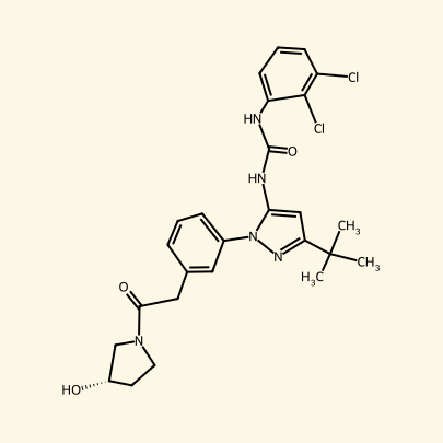 CC(C)(C)c1cc(NC(=O)Nc2cccc(Cl)c2Cl)n(-c2cccc(CC(=O)N3CC[C@H](O)C3)c2)n1